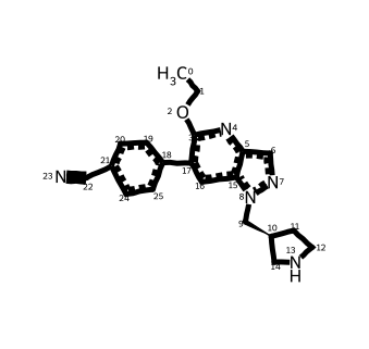 CCOc1nc2cnn(C[C@H]3CCNC3)c2cc1-c1ccc(C#N)cc1